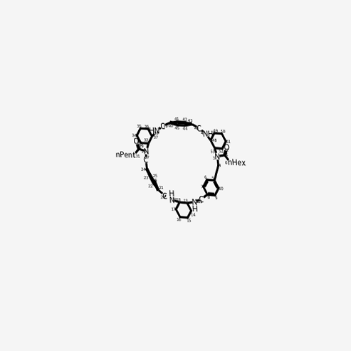 CCCCCCC(=O)N1Cc2ccc(cc2)CNC2CCCCC2NCc2ccc(cc2)CN(C(=O)CCCCC)C2CCCCC2NCc2ccc(cc2)CNC2CCCCC21